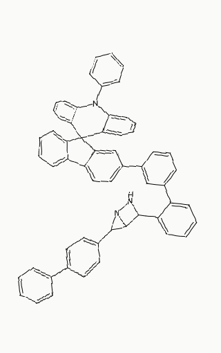 c1ccc(-c2ccc(C3C4C(c5ccccc5-c5cccc(-c6ccc7c(c6)C6(c8ccccc8-7)c7ccccc7N(c7ccccc7)c7ccccc76)c5)NN34)cc2)cc1